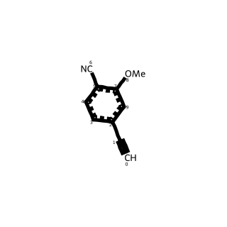 C#Cc1ccc(C#N)c(OC)c1